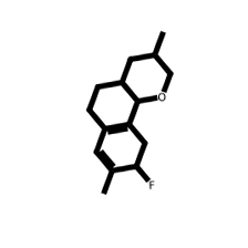 CC1=CC2=C(CC1F)C1OCC(C)CC1CC2